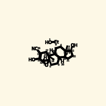 CCO.C[C@]12CC[C@H]3[C@@H](CC[C@@]45O[C@@H]4C(O)=C(C#N)C[C@]35C)[C@@H]1CC[C@@H]2O